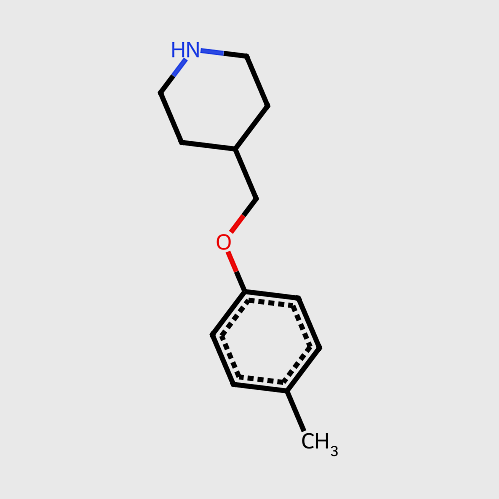 Cc1ccc(OCC2CCNCC2)cc1